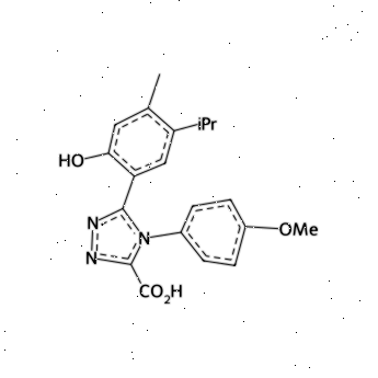 COc1ccc(-n2c(C(=O)O)nnc2-c2cc(C(C)C)c(C)cc2O)cc1